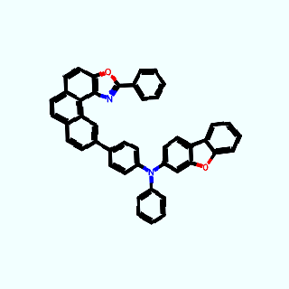 c1ccc(-c2nc3c(ccc4ccc5ccc(-c6ccc(N(c7ccccc7)c7ccc8c(c7)oc7ccccc78)cc6)cc5c43)o2)cc1